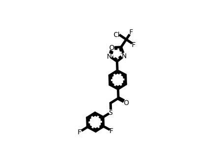 O=C(CSc1ccc(F)cc1F)c1ccc(-c2noc(C(F)(F)Cl)n2)cc1